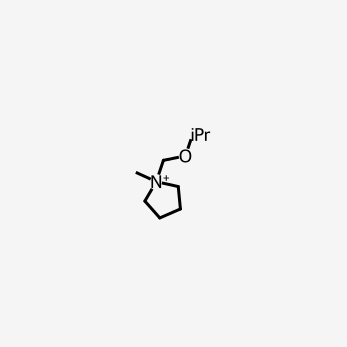 CC(C)OC[N+]1(C)CCCC1